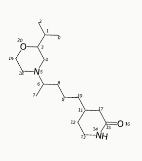 CC(C)C1CN(C(C)CCCC2CCNC(=O)C2)CCO1